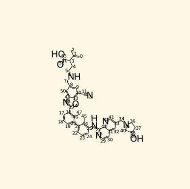 C=C(C)C(CCNCc1cc(C#N)c2oc(-c3cccc(-c4cccc(Nc5nccc6cc(CN7CC[C@@H](O)C7)cnc56)c4C)c3C)nc2c1)C(=O)O